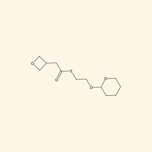 O=C(CC1COC1)SCCOC1CCCCO1